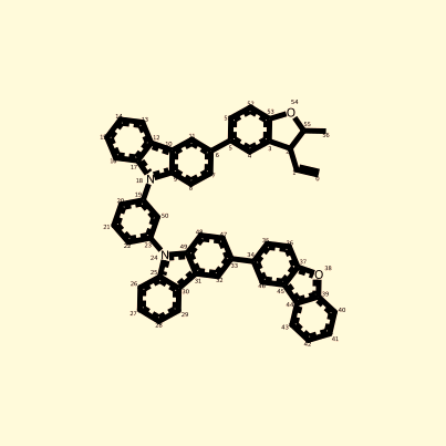 C=CC1c2cc(-c3ccc4c(c3)c3ccccc3n4-c3cccc(-n4c5ccccc5c5cc(-c6ccc7oc8ccccc8c7c6)ccc54)c3)ccc2OC1C